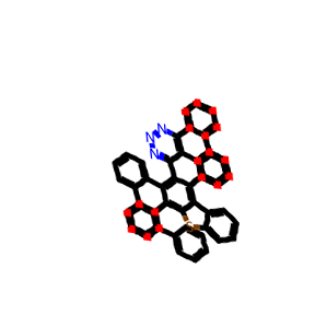 c1ccc(-c2ccccc2-c2nnnc(-c3c(-c4ccccc4-c4ccccc4)c(-c4ccccc4-c4ccccc4)c4sc5ccccc5c4c3-c3ccccc3)c2-c2ccccc2-c2ccccc2)cc1